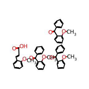 COc1ccccc1C(=O)c1ccccc1.COc1ccccc1C(=O)c1ccccc1.COc1ccccc1C(=O)c1ccccc1.COc1ccccc1C=CC(=O)O